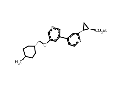 CCOC(=O)[C@@H]1C[C@H]1c1cc(-c2cncc(OC[C@H]3CC[C@H](C)CC3)c2)ccn1